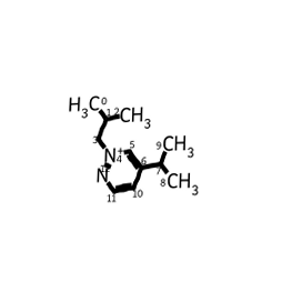 CC(C)C[n+]1cc(C(C)C)ccn1